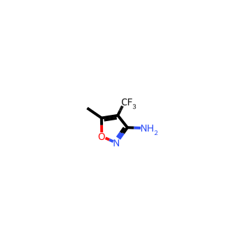 Cc1onc(N)c1C(F)(F)F